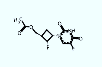 CC(=O)OC[C@H]1C[C@H](n2cc(F)c(=O)[nH]c2=O)[C@@H]1F